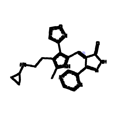 Cc1[nH]c(/C=C2/C(=O)NN=C2c2cnccn2)c(-c2ccon2)c1CCNC1CC1